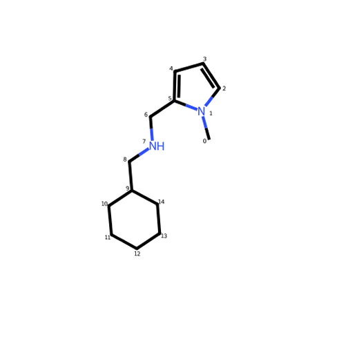 Cn1cccc1CNCC1CCCCC1